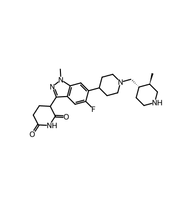 C[C@H]1CNCC[C@@H]1CN1CCC(c2cc3c(cc2F)c(C2CCC(=O)NC2=O)nn3C)CC1